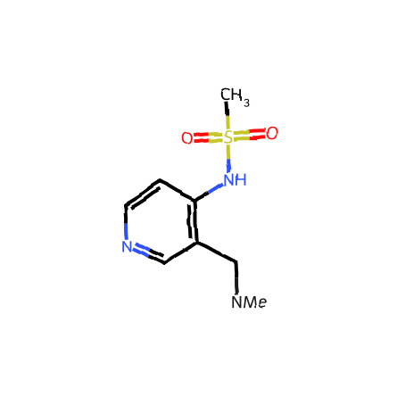 CNCc1cnccc1NS(C)(=O)=O